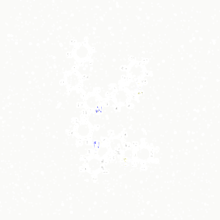 c1ccc(-c2cccc(-c3cc(-c4cccc(-n5c6ccccc6c6c7sc8ccccc8c7ccc65)c4)nc(-c4ccc5sc6ccccc6c5c4)c3)c2)cc1